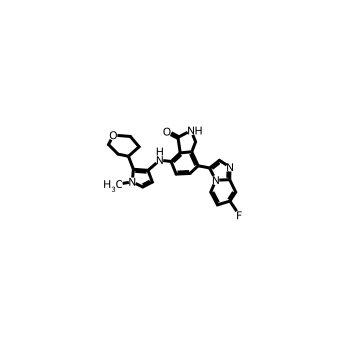 Cn1ccc(Nc2ccc(-c3cnc4cc(F)ccn34)c3c2C(=O)NC3)c1C1CCOCC1